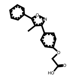 Cc1c(-c2ccc(OCC(=O)O)cc2)noc1-c1ccccc1